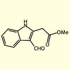 COC(=O)Cc1[nH]c2ccccc2c1C=O